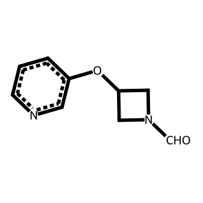 O=CN1CC(Oc2cccnc2)C1